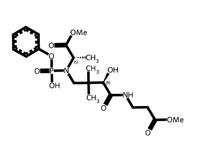 COC(=O)CCNC(=O)[C@H](O)C(C)(C)CN([C@@H](C)C(=O)OC)P(=O)(O)Oc1ccccc1